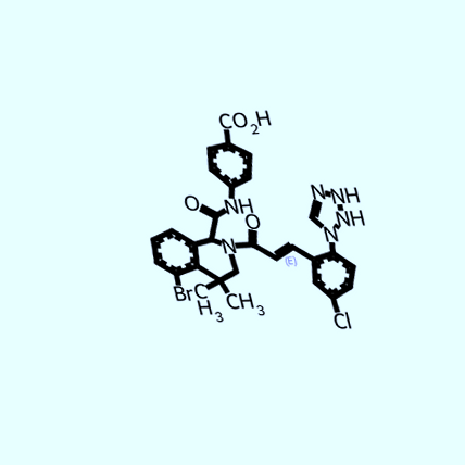 CC1(C)CN(C(=O)/C=C/c2cc(Cl)ccc2N2C=NNN2)C(C(=O)Nc2ccc(C(=O)O)cc2)c2cccc(Br)c21